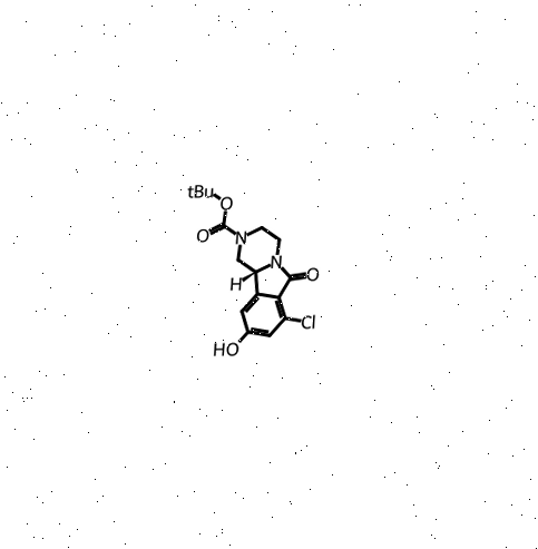 CC(C)(C)OC(=O)N1CCN2C(=O)c3c(Cl)cc(O)cc3[C@@H]2C1